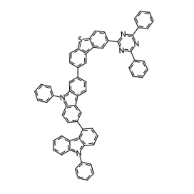 c1ccc(-c2nc(-c3ccccc3)nc(-c3ccc4sc5ccc(-c6ccc7c8cc(-c9cccc%10c9c9ccccc9n%10-c9ccccc9)ccc8n(-c8ccccc8)c7c6)cc5c4c3)n2)cc1